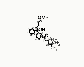 COCCCC[C@@](O)(c1ccccc1)C1CCCN(C(=O)N[C@H](CN)CC(C)C(F)(F)F)C1